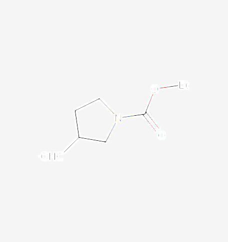 CCOC(=O)N1CCC([C]=O)C1